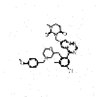 COc1ccc(CN2CC(Cc3c(C)cc(Cl)cc3-c3ncnn4cc(CN5C(=O)CCN(C)C5=O)cc34)O[C@@H](C)C2)cc1